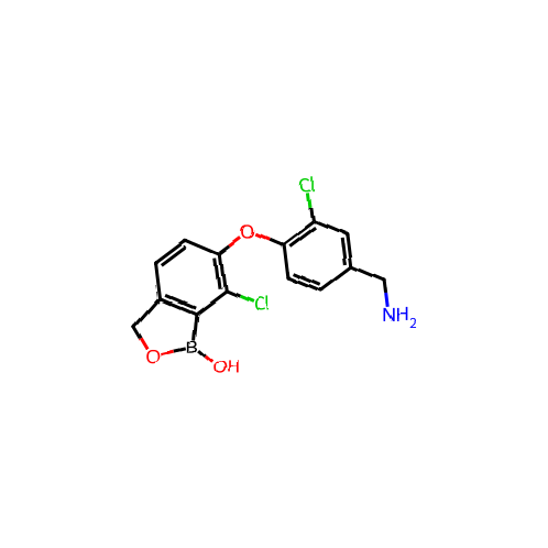 NCc1ccc(Oc2ccc3c(c2Cl)B(O)OC3)c(Cl)c1